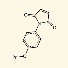 CC(C)Oc1ccc(N2C(=O)C=CC2=O)cc1